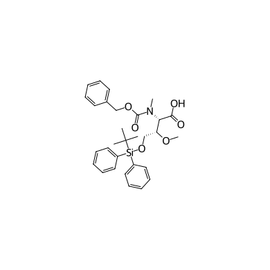 CO[C@H](CO[Si](c1ccccc1)(c1ccccc1)C(C)(C)C)[C@@H](C(=O)O)N(C)C(=O)OCc1ccccc1